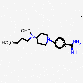 N=C(N)c1ccc(N2CCC(N(C=O)CCCC(=O)O)CC2)cc1